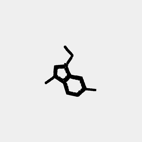 CCn1cc(C)c2ccc(C)cc21